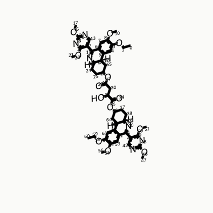 CCOc1cc2c(cc1OC)C(c1cnc(OC)nc1OC)=N[C@H]1CC[C@H](OC(=O)CC(O)C(=O)O[C@H]3CC[C@@H]4N=C(c5cnc(OC)nc5OC)c5cc(OC)c(OCC)cc5[C@@H]4C3)C[C@@H]21